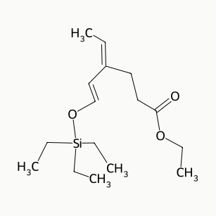 CC=C(C=CO[Si](CC)(CC)CC)CCC(=O)OCC